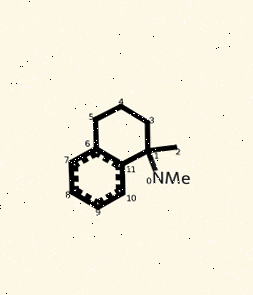 CNC1(C)CCCc2ccccc21